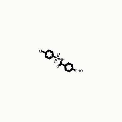 O=Cc1ccc(C(=O)NS(=O)(=O)c2ccc(Cl)cc2)cc1